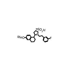 COc1ccc2c(c1)CCCC2C1CCCN1CCc1cccc(F)c1.CS(=O)(=O)O